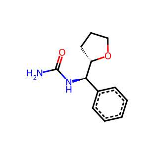 NC(=O)N[C@H](c1ccccc1)[C@@H]1CCCO1